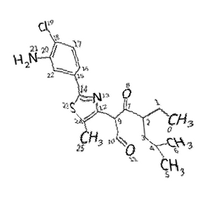 CCC(CC(C)C)C(=O)C(C=O)c1nc(-c2ccc(Cl)c(N)c2)sc1C